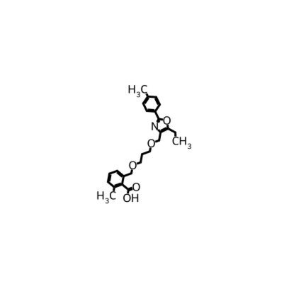 CCc1oc(-c2ccc(C)cc2)nc1COCCCOCc1cccc(C)c1C(=O)O